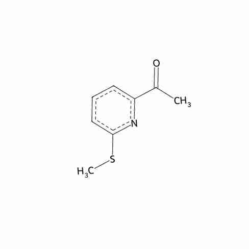 CSc1cccc(C(C)=O)n1